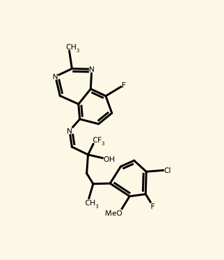 COc1c(C(C)CC(O)(/C=N\c2ccc(F)c3nc(C)ncc23)C(F)(F)F)ccc(Cl)c1F